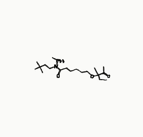 CCC(C)(OCCCCCC(=O)N(CCC(C)(C)C)PC)C(C)=O